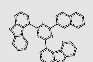 c1ccc2cc(-c3nc(-c4cccc5oc6ccccc6c45)nc(-c4cccc5oc6cccnc6c45)n3)ccc2c1